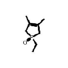 CCP1(=O)CC(C)=C(C)C1